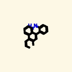 C/C=C\c1c(C)cc(-c2ccccc2N)c2ccccc12